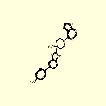 COc1ccc(-c2ccc3[nH]c(C4(N)CCN(c5ncnc6[nH]ccc56)CC4)nc3c2)cc1